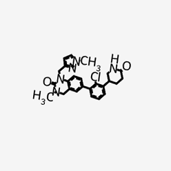 CN1Cc2cc(-c3cccc(C4CCC(=O)NC4)c3Cl)ccc2N(Cc2ccn(C)n2)C1=O